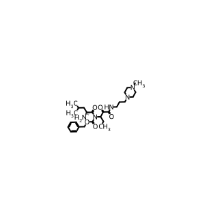 CCC(C(=O)C(=O)NCCCN1CCN(C)CC1)N(C(=O)OCc1ccccc1)C(=O)[C@@H](N)CC(C)C